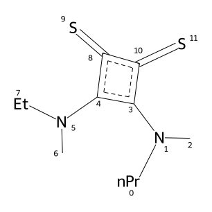 CCCN(C)c1c(N(C)CC)c(=S)c1=S